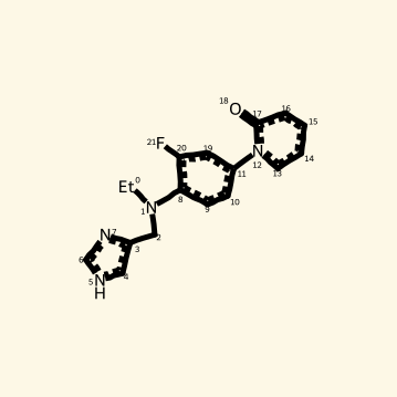 CCN(Cc1c[nH]cn1)c1ccc(-n2ccccc2=O)cc1F